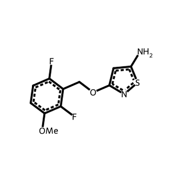 COc1ccc(F)c(COc2cc(N)sn2)c1F